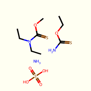 CCN(CC)C(=S)OC.CCOC(N)=S.N.O=S(=O)(O)O